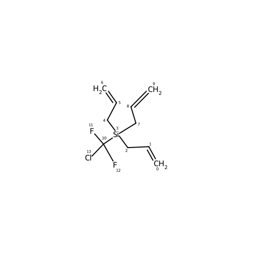 C=CC[Si](CC=C)(CC=C)C(F)(F)Cl